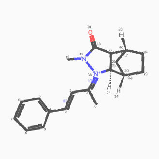 CC(/C=C/c1ccccc1)=[N+]1\[C@H]2C(C(=O)N1C)[C@@H]1CC[C@H]2C1